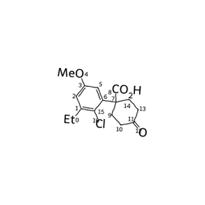 CCc1cc(OC)cc(C2(C(=O)O)CCC(=O)CC2)c1Cl